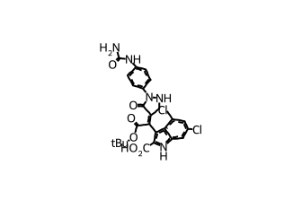 CC(C)(C)OC(=O)C(=C1CNN(c2ccc(NC(N)=O)cc2)C1=O)c1c(C(=O)O)[nH]c2cc(Cl)cc(Cl)c12